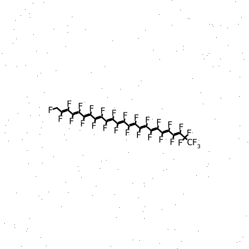 FC/C(F)=C(F)/C(F)=C(F)/C(F)=C(F)/C(F)=C(F)/C(F)=C(F)/C(F)=C(F)/C(F)=C(F)/C(F)=C(F)/C(F)=C(F)/C(F)=C(F)/C(F)=C(\F)C(F)(F)C(F)(F)F